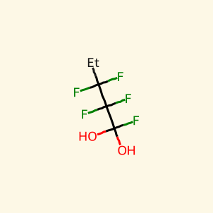 CCC(F)(F)C(F)(F)C(O)(O)F